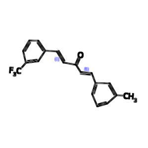 Cc1cccc(/C=C/C(=O)/C=C/c2cccc(C(F)(F)F)c2)c1